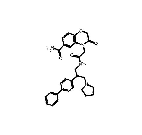 NC(=O)c1ccc2c(c1)N(CC(=O)NCC(CN1CCCC1)c1ccc(-c3ccccc3)cc1)C(=O)CO2